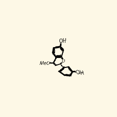 COC1C[C@H](c2cccc(O)c2)Oc2cc(O)ccc21